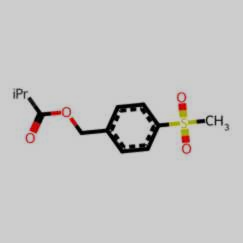 CC(C)C(=O)OCc1ccc(S(C)(=O)=O)cc1